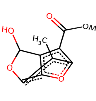 COC(=O)c1c2c3oc1c(C)c3OC2O